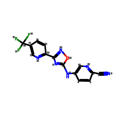 N#Cc1ccc(Nc2nc(-c3ccc(C(F)(F)F)cn3)no2)cn1